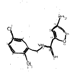 Cc1ccc(Cl)cc1CNC(=N)c1cc(N)no1